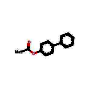 CSC(=O)Oc1ccc(-c2ccccc2)cc1